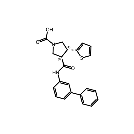 O=C(Nc1cccc(-c2ccccc2)c1)[C@H]1CN(C(=O)O)C[C@@H]1c1cccs1